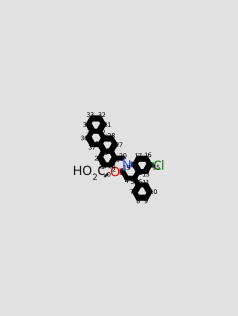 CC(=O)O.O=C1CC(c2ccccc2)c2cc(Cl)ccc2N1Cc1cccc2c1ccc1c3ccccc3ccc21